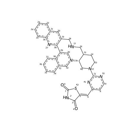 O=C1NC(=O)C(=Cc2ccnc(N3CCC(CNCc4cc5ccccc5nc4-c4cncc5ccccc45)CC3)n2)S1